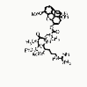 CCOC(=O)CN(C)C(=O)[C@H](CN(C)C(=O)OC1=CCC2(O)[C@@H]3CCC[C@@]24c2c(ccc(OC)c2OC14)C3)NC(=O)[C@H](CCCNC(=N)N)NC(C)=O